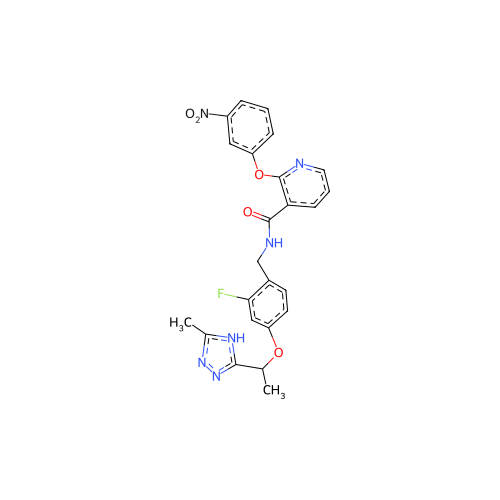 Cc1nnc(C(C)Oc2ccc(CNC(=O)c3cccnc3Oc3cccc([N+](=O)[O-])c3)c(F)c2)[nH]1